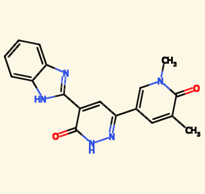 Cc1cc(-c2cc(-c3nc4ccccc4[nH]3)c(=O)[nH]n2)cn(C)c1=O